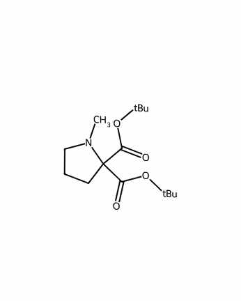 CN1CCCC1(C(=O)OC(C)(C)C)C(=O)OC(C)(C)C